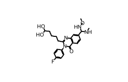 CNC(NOC)c1ccc2c(=O)n(-c3ccc(F)cc3)c(CCCCC(O)O)nc2c1